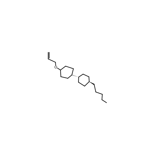 C=CCOC1CCC([C@H]2CC[C@H](CCCCC)CC2)CC1